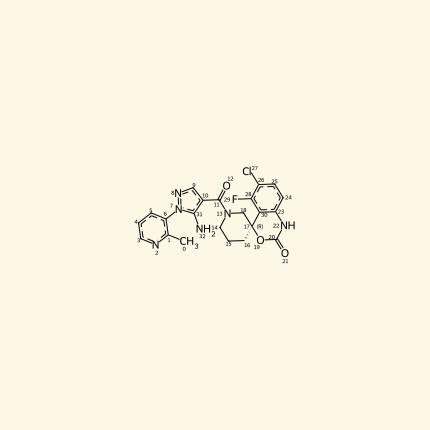 Cc1ncccc1-n1ncc(C(=O)N2CCC[C@@]3(C2)OC(=O)Nc2ccc(Cl)c(F)c23)c1N